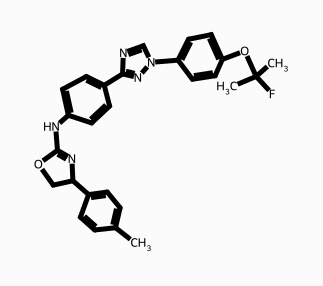 Cc1ccc(C2COC(Nc3ccc(-c4ncn(-c5ccc(OC(C)(C)F)cc5)n4)cc3)=N2)cc1